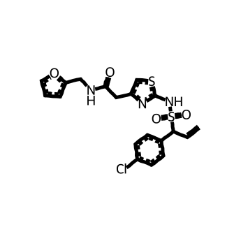 C=CC(c1ccc(Cl)cc1)S(=O)(=O)Nc1nc(CC(=O)NCc2ccco2)cs1